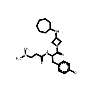 CN(C)CCC(=O)NC(Cc1ccc(Cl)cc1)C(=O)N1CC(NC2CCCCCC2)C1